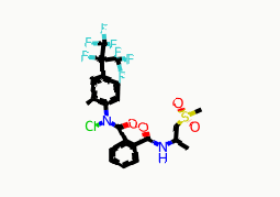 Cc1cc(C(F)(C(F)(F)F)C(F)(F)F)ccc1N(Cl)C(=O)c1ccccc1C(=O)NC(C)CS(C)(=O)=O